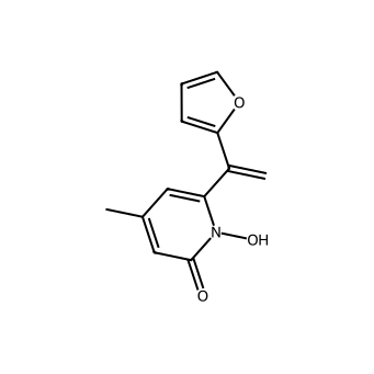 C=C(c1ccco1)c1cc(C)cc(=O)n1O